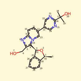 C[C@@H]1O[C@H](c2c(CO)nc3ccc(-c4cnc(C(C)(C)O)nc4)cn23)c2ccccc21